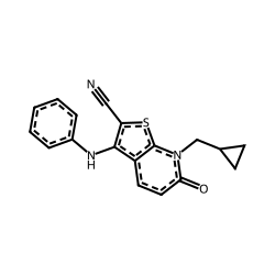 N#Cc1sc2c(ccc(=O)n2CC2CC2)c1Nc1ccccc1